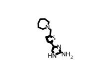 Nc1nc(-c2ccc(CN3CCCCCC3)s2)c[nH]1